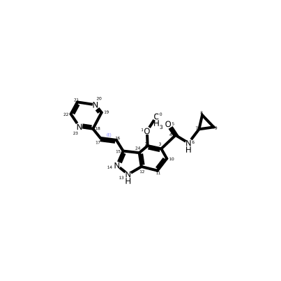 COc1c(C(=O)NC2CC2)ccc2[nH]nc(/C=C/c3cnccn3)c12